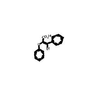 CCC(=C(Oc1ccccc1)C(=O)O)c1ccccc1